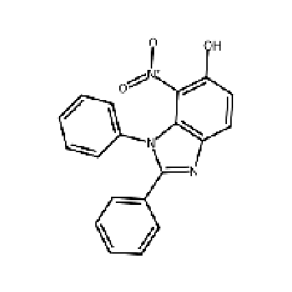 O=[N+]([O-])c1c(O)ccc2nc(-c3ccccc3)n(-c3ccccc3)c12